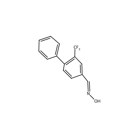 O/N=C/c1ccc(-c2ccccc2)c(C(F)(F)F)c1